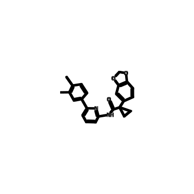 Cc1ccc(-c2cccc(NC(=O)C3(c4ccc5c(c4)OCO5)CC3)n2)cc1C